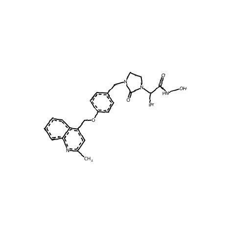 Cc1cc(COc2ccc(CN3CCN(C(C(=O)NO)C(C)C)C3=O)cc2)c2ccccc2n1